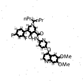 CCCC(CCC)n1cc(C(=O)Nc2ccc(Oc3ccnc4cc(OC)c(OC)cc34)cn2)c(=O)c(-c2ccc(F)cc2F)c1